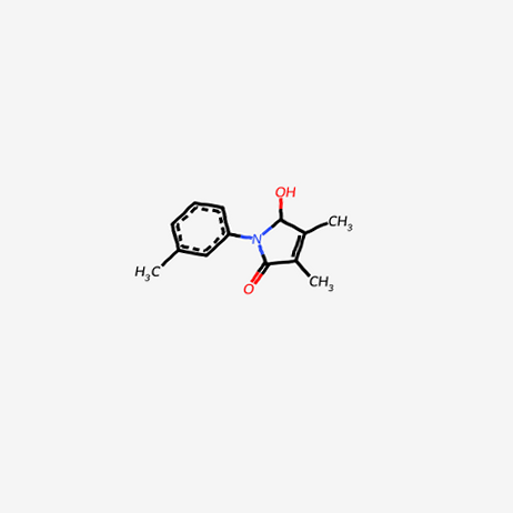 CC1=C(C)C(O)N(c2cccc(C)c2)C1=O